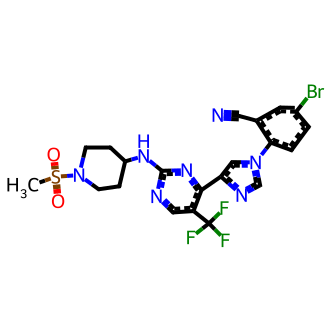 CS(=O)(=O)N1CCC(Nc2ncc(C(F)(F)F)c(-c3cn(-c4ccc(Br)cc4C#N)cn3)n2)CC1